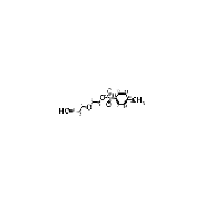 C#CCCOCCOS(=O)(=O)c1ccc(C)cc1